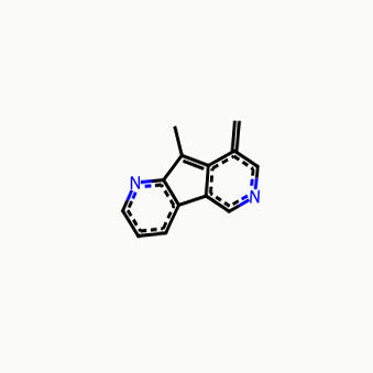 C=c1cncc2c1=C(C)c1ncccc1-2